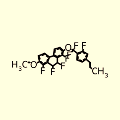 CCCc1ccc(C(F)(F)Oc2ccc3c(c2F)C(F)C(F)c2c-3ccc(OCC)c2F)c(F)c1